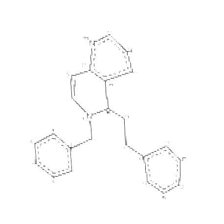 C1=CN(Cc2ccccc2)C(CCc2ccccc2)c2cccnc21